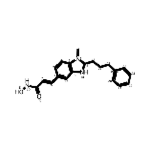 CN1c2ccc(/C=C/C(=O)NO)cc2NC1CCCc1ccccc1